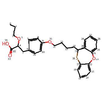 CCCOC(Cc1ccc(OCCCCC2Sc3ccccc3Oc3ccccc32)cc1)C(=O)O